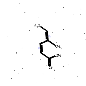 C=C(O)/C=C\C(C)=C/N